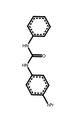 CCCc1ccc(NC(=O)Nc2ccccc2)cc1